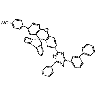 N#Cc1ccc(-c2ccc3c(c2)C2(c4cc(-c5nc(-c6ccccc6)nc(-c6cccc(-c7ccccc7)c6)n5)ccc4O3)c3ccccc3-c3ccccc32)cc1